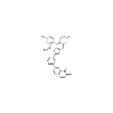 Cc1cc2nc(-c3ccnc(-c4ccc5ccc(=O)n(C)c5c4)c3)sc2c(-c2ccc(Cl)cc2OC(C)(C)C)c1CC(=O)O